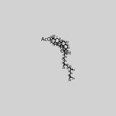 CC(=O)O[C@H]1CC[C@@]2(C)C(CC[C@]3(C)[C@@H]2CC=C2[C@@H]4CC(C)(C(=O)NCCSCC=C(C)CCC=C(C)CCC=C(C)C)CC[C@]4(C)CC[C@]23C)C1(C)C